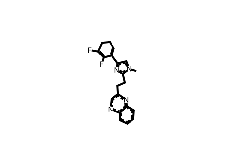 Cn1cc(C2=CCCC(F)=C2F)nc1CCc1cnc2ccccc2n1